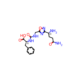 NC(=O)CC[C@H](N)c1noc(CNC(=O)N[C@@H](Cc2ccccc2)C(=O)O)n1